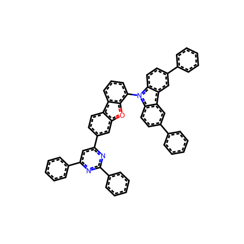 c1ccc(-c2ccc3c(c2)c2cc(-c4ccccc4)ccc2n3-c2cccc3c2oc2cc(-c4cc(-c5ccccc5)nc(-c5ccccc5)n4)ccc23)cc1